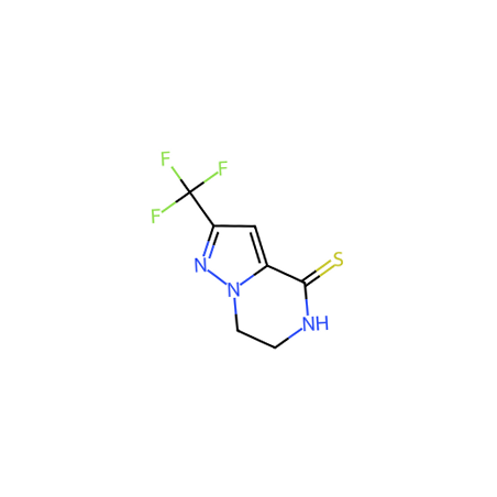 FC(F)(F)c1cc2n(n1)CCNC2=S